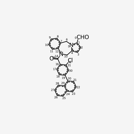 O=Cc1ccc2n1Cc1ccccc1N(C(=O)c1ccc(-c3cccc4ccccc34)cc1Cl)C2